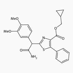 COc1ccc(C(C(N)=O)c2nc(C(=O)OCC3CC3)c(-c3ccccc3)s2)cc1OC